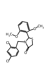 COc1cccc(OC)c1C1SCC(=O)N1Cc1ccc(Cl)cc1Cl